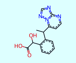 CC(c1ccccc1C(O)C(=O)O)c1ccnc2ncnn12